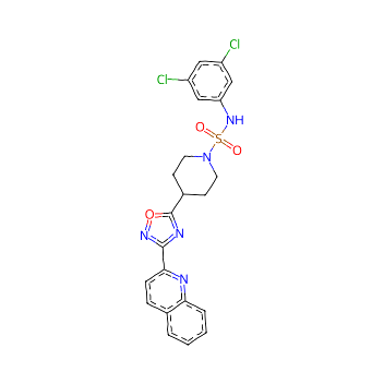 O=S(=O)(Nc1cc(Cl)cc(Cl)c1)N1CCC(c2nc(-c3ccc4ccccc4n3)no2)CC1